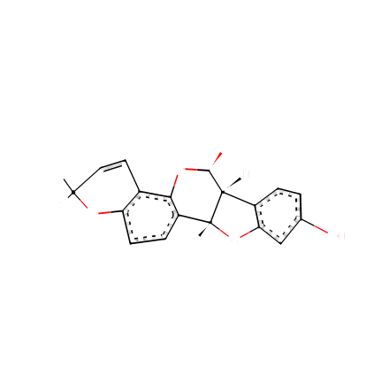 CC1(C)C=Cc2c(ccc3c2O[C@@H](O)[C@@H]2c4ccc(O)cc4O[C@H]32)O1